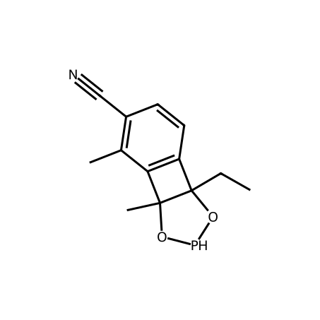 CCC12OPOC1(C)c1c2ccc(C#N)c1C